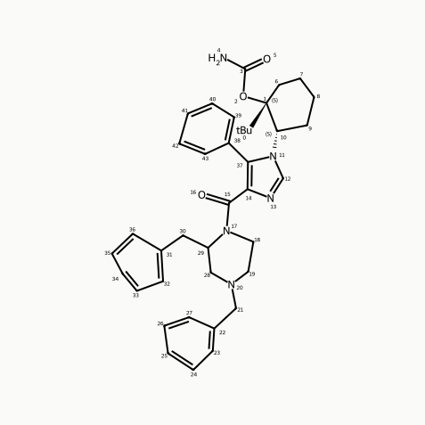 CC(C)(C)[C@@]1(OC(N)=O)CCCC[C@@H]1n1cnc(C(=O)N2CCN(Cc3ccccc3)CC2Cc2ccccc2)c1-c1ccccc1